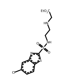 CCOC(=O)CNCCNS(=O)(=O)c1nc2cc(Cl)ccc2s1